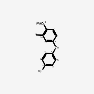 CSc1ccc(Oc2ccc(F)cc2)cc1C